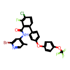 Cc1cnc(Br)cc1NC(=O)c1c(-c2ccc(Oc3ccc(OC(F)(F)F)cc3)cc2)ccc(Cl)c1F